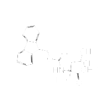 CC(C)C[C@@](C)(NC(=O)OCC1c2ccccc2-c2ccccc21)C(=O)O